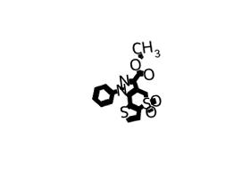 CCOC(=O)c1nn(-c2ccccc2)c2c1CS(=O)(=O)c1ccsc1-2